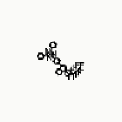 FC(F)(F)C(F)(F)C(F)(F)C(F)(F)SOc1ccc(-c2ccc(-c3nc(-c4ccccc4)nc(-c4ccccc4)n3)cc2)c2ccccc12